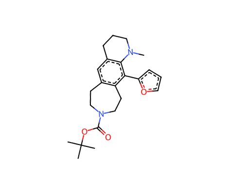 CN1CCCc2cc3c(c(-c4ccco4)c21)CCN(C(=O)OC(C)(C)C)CC3